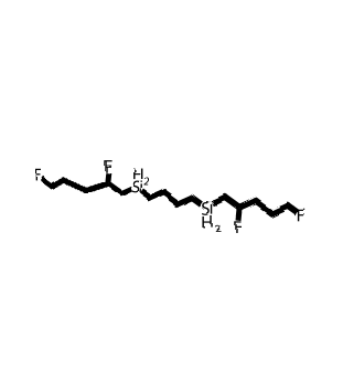 FCCCC(F)C[SiH2]CCCC[SiH2]CC(F)CCCF